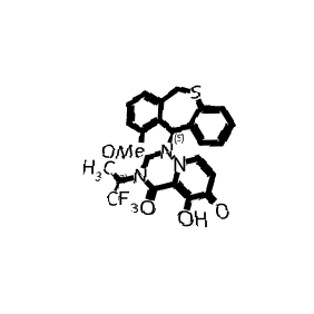 COc1cccc2c1[C@H](N1CN([C@H](C)C(F)(F)F)C(=O)c3c(O)c(=O)ccn31)c1ccccc1SC2